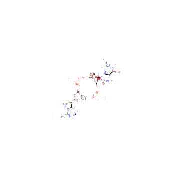 CO[C@H]1[C@H]2OP(=O)(O)OC[C@H]3O[C@@H](c4snc5c(N)ncnc45)C[C@]3(F)OP(=O)(O)OC[C@H]1O[C@H]2n1cnc2c(=O)[nH]c(N)nc21